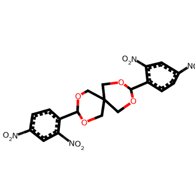 O=[N+]([O-])c1ccc(C2OCC3(CO2)COC(c2ccc([N+](=O)[O-])cc2[N+](=O)[O-])OC3)c([N+](=O)[O-])c1